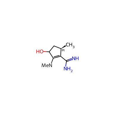 CNC1=C(C(=N)N)[C@H](C)CC1O